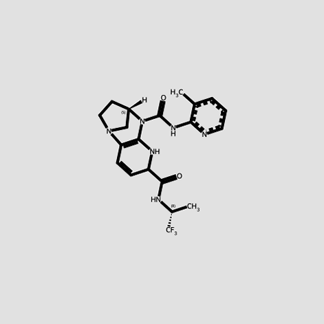 Cc1cccnc1NC(=O)N1C2=C(C=CC(C(=O)N[C@H](C)C(F)(F)F)N2)N2CC[C@H]1C2